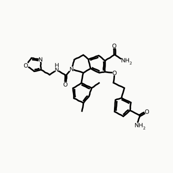 Cc1ccc(C2c3cc(OCCc4cccc(C(N)=O)c4)c(C(N)=O)cc3CCN2C(=O)NCc2cocn2)c(C)c1